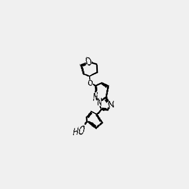 Oc1ccc(-c2cnc3ccc(OC4CCOCC4)nn23)cc1